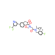 C[C@H](N(Cc1ccc(F)cc1)C(=O)CN1CO[C@]2(C(=O)Cc3cc(-c4cncc(C(F)F)c4)ccc32)C1=O)C(F)(F)F